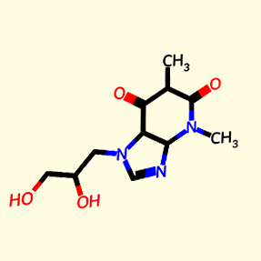 CC1C(=O)C2C(N=CN2CC(O)CO)N(C)C1=O